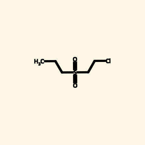 CCCS(=O)(=O)CCCl